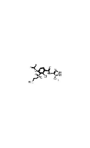 CCCS(=O)(=O)c1c(OC(F)F)ccc(C(=O)NC2=NNNN2C)c1Cl